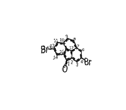 O=c1c2cc(Br)cc3ccc4cc(Br)cc1c4c32